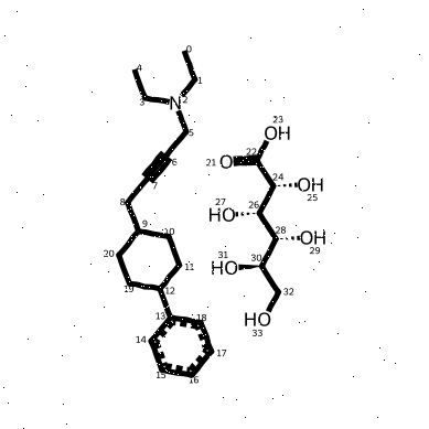 CCN(CC)CC#CCC1CCC(c2ccccc2)CC1.O=C(O)[C@H](O)[C@@H](O)[C@H](O)[C@H](O)CO